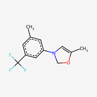 CC1=CN(c2cc(C)cc(C(F)(F)F)c2)CO1